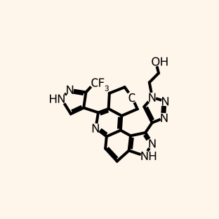 OCCn1cc(-c2n[nH]c3ccc4nc(-c5c[nH]nc5C(F)(F)F)c5c(c4c23)CCCC5)nn1